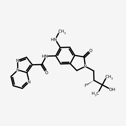 CNc1cc2c(cc1NC(=O)c1cnn3cccnc13)CN(C[C@@H](F)C(C)(C)O)C2=O